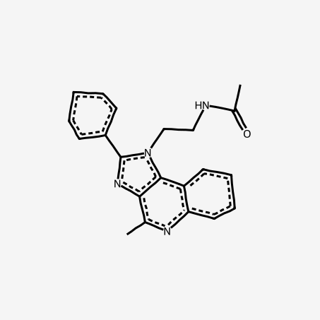 CC(=O)NCCn1c(-c2ccccc2)nc2c(C)nc3ccccc3c21